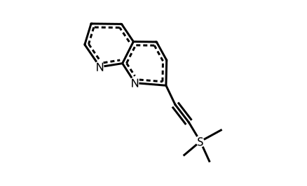 CS(C)(C)C#Cc1ccc2cccnc2n1